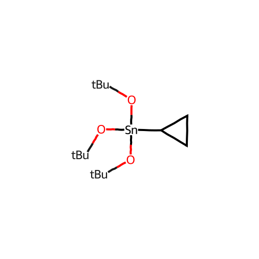 CC(C)(C)[O][Sn]([O]C(C)(C)C)([O]C(C)(C)C)[CH]1CC1